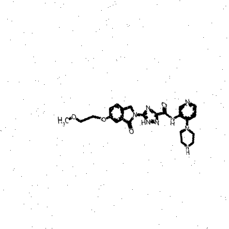 COCCOc1ccc2c(c1)C(=O)N(c1nc(C(=O)Nc3cnccc3N3CCNCC3)n[nH]1)C2